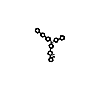 C1=CC2c3ccccc3SC2C=C1c1ccc(N(c2ccc(-c3ccccc3)cc2)c2ccc(-c3ccc(-c4ccccc4)cc3)cc2)cc1